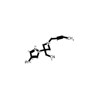 CC#CCN1CC(CC#N)(n2cc(C(C)C)cn2)C1